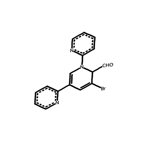 O=CC1C(Br)=CC(c2ccccn2)=CN1c1ccccn1